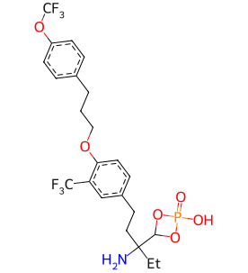 CCC(N)(CCc1ccc(OCCCc2ccc(OC(F)(F)F)cc2)c(C(F)(F)F)c1)C1OP(=O)(O)O1